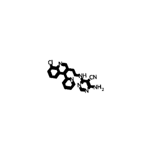 N#Cc1c(N)ncnc1NCCc1cnc2c(Cl)cccc2c1-c1ccccn1